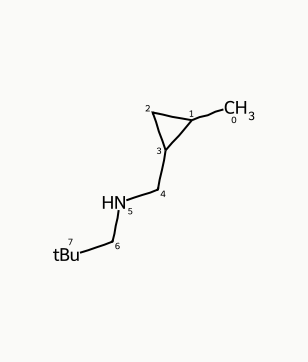 CC1CC1CNCC(C)(C)C